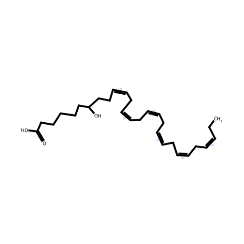 CC/C=C\C/C=C\C/C=C\C/C=C\C/C=C\C/C=C\CCC(O)CCCCCC(=O)O